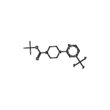 CC(C)(C)OC(=O)N1CCN(c2cc(C(F)(F)F)ccn2)CC1